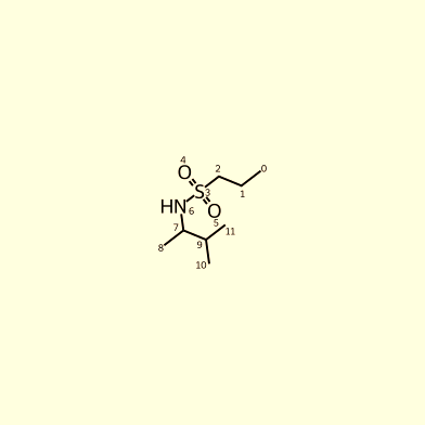 CCCS(=O)(=O)NC(C)C(C)C